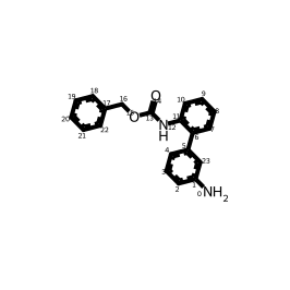 Nc1cccc(-c2ccccc2NC(=O)OCc2ccccc2)c1